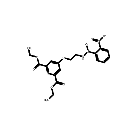 CCOC(=O)c1cc(OCCN[S+]([O-])c2ccccc2[N+](=O)[O-])cc(C(=O)OCC)n1